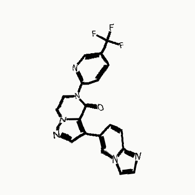 O=C1c2c(-c3ccc4nccn4c3)cnn2CCN1c1ccc(C(F)(F)F)cn1